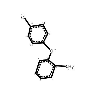 [CH2]c1ccccc1Oc1ccc(Cl)cc1